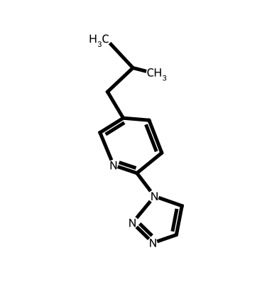 CC(C)Cc1ccc(-n2ccnn2)nc1